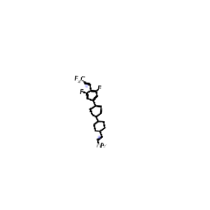 CCC/C=C/C1CCC(C2CCC(c3cc(F)c(/C=C/C(F)(F)F)c(F)c3)CC2)CC1